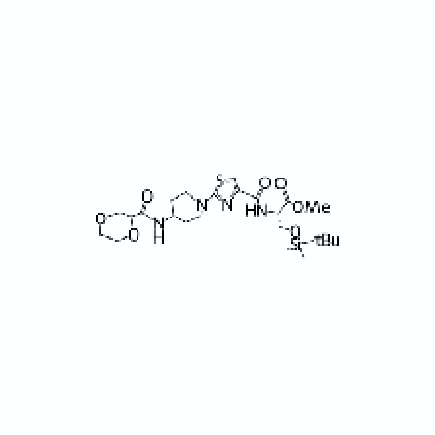 COC(=O)[C@H](CO[Si](C)(C)C(C)(C)C)NC(=O)c1csc(N2CCC(NC(=O)C3COCCO3)CC2)n1